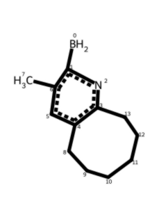 Bc1nc2c(cc1C)CCCCCC2